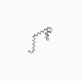 CCCCCCCC/C=C\CCCCCCC(C)C(=O)OOCCl